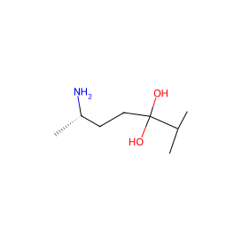 CC(C)C(O)(O)CC[C@H](C)N